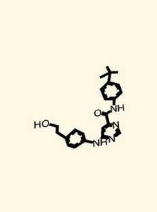 CC(C)(C)c1ccc(NC(=O)c2cc(Nc3ccc(CCO)cc3)ncn2)cc1